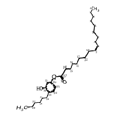 CCCCCCCC/C=C\CCCCCCCC(=O)Oc1ccc(CCCCCC)c(O)c1